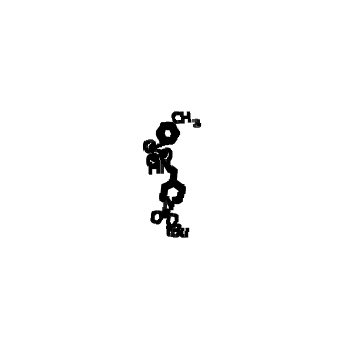 Cc1ccc(S(=O)(=O)ONCC2CCN(C(=O)OC(C)(C)C)CC2)cc1